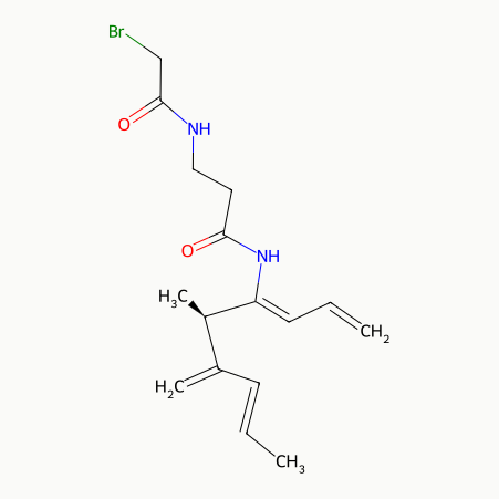 C=C/C=C(\NC(=O)CCNC(=O)CBr)[C@H](C)C(=C)/C=C/C